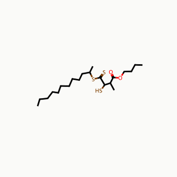 CCCCCCCCCCC(C)SC(=S)C(S)C(C)C(=O)OCCCC